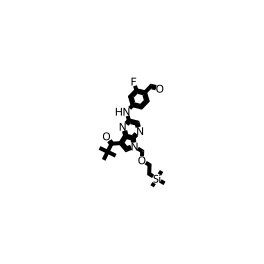 CC(C)(C)C(=O)c1cn(COCC[Si](C)(C)C)c2ncc(Nc3ccc(C=O)c(F)c3)nc12